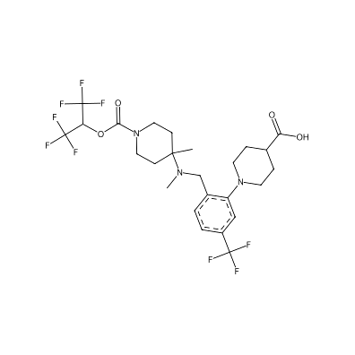 CN(Cc1ccc(C(F)(F)F)cc1N1CCC(C(=O)O)CC1)C1(C)CCN(C(=O)OC(C(F)(F)F)C(F)(F)F)CC1